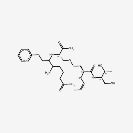 C/C=C\N[C@@H](CSSC[C@H](NC(CCc1ccccc1)C(N)CCCC(N)=O)C(N)=O)C(=O)N[C@H](CO)[C@@H](C)O